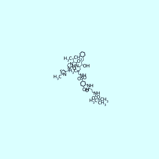 Cc1nc(CN2CCN(C(C(=O)NC(C[C@@H](C)CNS(=O)(=O)c3ccc(O)c(NC(=O)CCNC(=O)OC(C)(C)C)c3)C(O)CCc3ccccc3)C(C)C)C2=O)cs1